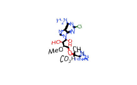 CO[C@H](COC(C)(C(=O)O)c1nnn[nH]1)[C@@H](O)[C@@H](O)n1cnc2c(N)nc(Cl)nc21